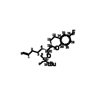 C=CCCC[C@@H](O[Si](C)(C)C(C)(C)C)[C@@H]1CCc2cc(F)ccc2O1